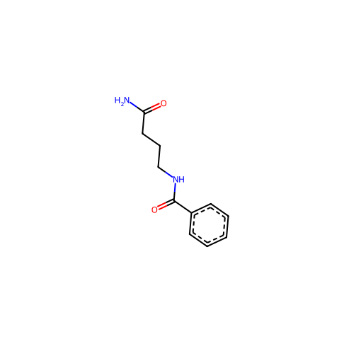 NC(=O)CCCNC(=O)c1ccccc1